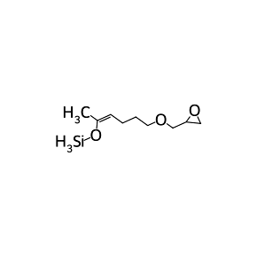 CC(=CCCCOCC1CO1)O[SiH3]